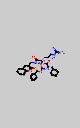 N=C(N)NCCC[C@H](NC(=O)[C@H](Cc1ccccc1)NC(=O)OCc1ccccc1)C(=O)NCc1cc2ccccc2oc1=O